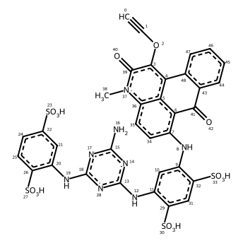 C#COc1c2c3c(c(Nc4cc(Nc5nc(N)nc(Nc6cc(S(=O)(=O)O)ccc6S(=O)(=O)O)n5)c(S(=O)(=O)O)cc4S(=O)(=O)O)ccc3n(C)c1=O)C(=O)c1ccccc1-2